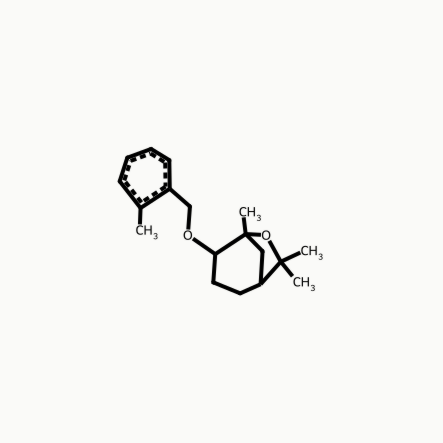 Cc1ccccc1COC1CCC2CC1(C)OC2(C)C